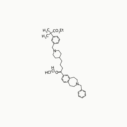 CCOC(=O)C(C)(C)c1cccc(CN2CCC(CCCC(=O)c3ccc4c(c3)CCN(Cc3ccccc3)CC4)CC2)c1.Cl.Cl